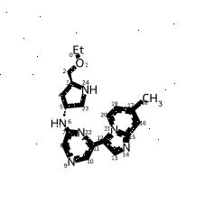 CCOC[C@@H]1C[C@@H](Nc2cncc(-c3cnc4cc(C)ccn34)n2)CN1